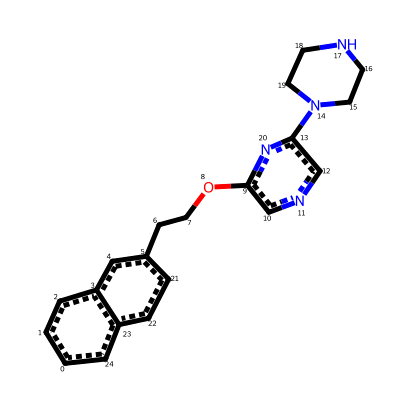 c1ccc2cc(CCOc3cncc(N4CCNCC4)n3)ccc2c1